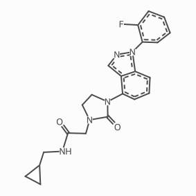 O=C(CN1CCN(c2cccc3c2cnn3-c2ccccc2F)C1=O)NCC1CC1